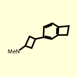 CNC1CC(c2ccc3c(c2)CC3)C1